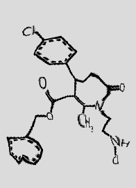 CC1=C(C(=O)OCc2ccccc2)C(c2ccc(Cl)cc2)CC(=O)N1CCNCl